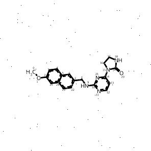 COc1ccc2cc(CNc3nccc(N4CCNC4=O)n3)ccc2c1